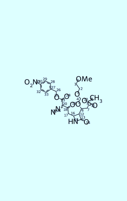 COCCOCOC(CS(C)(=O)=O)C1C(=O)NC1CC(=O)C(=[N+]=[N-])C(=O)OCc1ccc([N+](=O)[O-])cc1